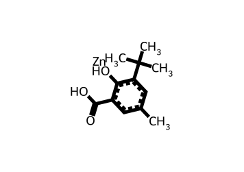 Cc1cc(C(=O)O)c(O)c(C(C)(C)C)c1.[Zn]